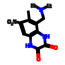 CCN(CC)Cc1c(C)c([N+](=O)[O-])cc2[nH]c(=O)c(=O)[nH]c12